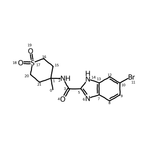 CC1(NC(=O)c2nc3ccc(Br)cc3[nH]2)CCS(=O)(=O)CC1